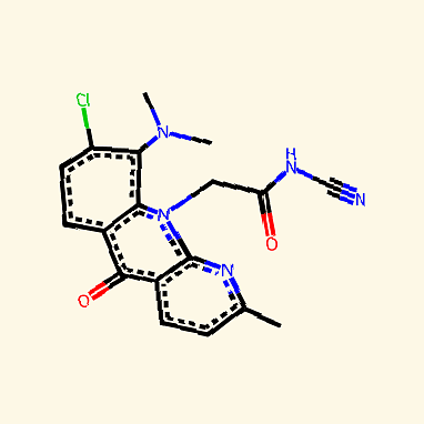 Cc1ccc2c(=O)c3ccc(Cl)c(N(C)C)c3n(CC(=O)NC#N)c2n1